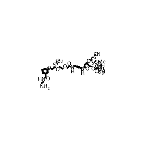 CSS[C@H](CSC#N)O[C@@H]1C[C@H](BC#CCNC(=O)COCCOC(COc2cccc(C(=O)NCCN)c2)SSC(C)(C)C)OC1COC(C)(C)P(=O)(O)O